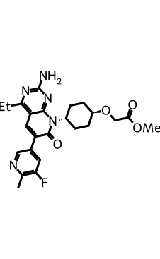 CCc1nc(N)nc2c1cc(-c1cnc(C)c(F)c1)c(=O)n2[C@H]1CC[C@H](OCC(=O)OC)CC1